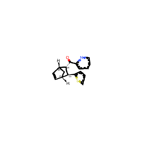 O=C(c1ccccn1)[C@@H]1[C@@H](c2cccs2)[C@@H]2C=C[C@H]1C2